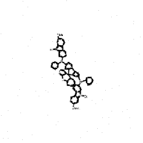 CCn1c2cc(OC)ccc2c2ccc(N(c3ccccc3)c3ccc4c(c3)C3(c5ccccc5Oc5ccccc53)c3cc(N(c5ccccc5)c5ccc6c7ccc(OC)cc7n(CC)c6c5)ccc3-4)cc21